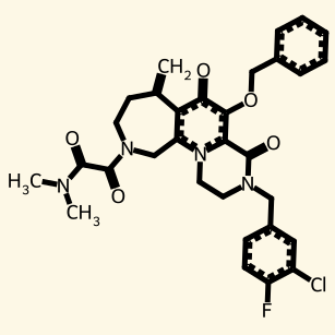 C=C1CCN(C(=O)C(=O)N(C)C)Cc2c1c(=O)c(OCc1ccccc1)c1n2CCN(Cc2ccc(F)c(Cl)c2)C1=O